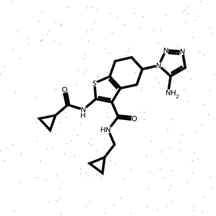 Nc1cnnn1C1CCc2sc(NC(=O)C3CC3)c(C(=O)NCC3CC3)c2C1